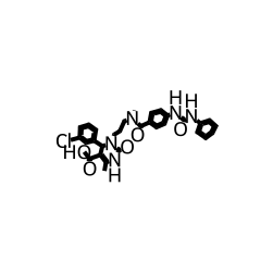 CC1=C(C(=O)O)C(c2cccc(Cl)c2)N(CCCN(C)C(=O)c2ccc(NC(=O)Nc3ccccc3)cc2)C(=O)N1